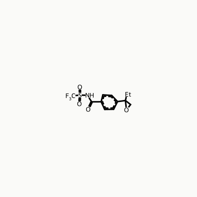 CCC1(c2ccc(C(=O)NS(=O)(=O)C(F)(F)F)cc2)CO1